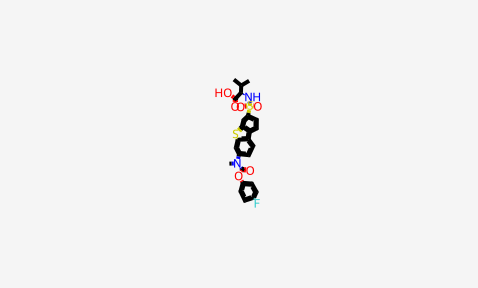 CC(C)[C@H](NS(=O)(=O)c1ccc2c(c1)sc1cc(N(C)C(=O)Oc3ccc(F)cc3)ccc12)C(=O)O